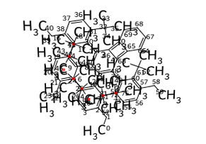 CCc1ccc(C(C)(C)C)c(-c2c(-c3c(C(C)(C)C)ccc(CC)c3C(C)(C)C)c(-c3c(C(C)(C)C)ccc(CC)c3C(C)(C)C)c3c(c2-c2c(C(C)(C)C)ccc(CC)c2C(C)(C)C)=c2ccccc2=3)c1C(C)(C)C